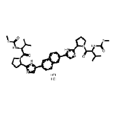 COC(=O)NC(C(=O)N1CCCC1c1ncc(-c2ccc3cc(-c4cnc(C5CCCN5C(=O)[C@@H](NC(=O)OC)C(C)C)[nH]4)ccc3c2)[nH]1)C(C)C.Cl.Cl